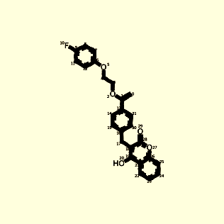 C=C(OCCOc1ccc(F)cc1)c1ccc(Cc2c(O)c3ccccc3oc2=O)cc1